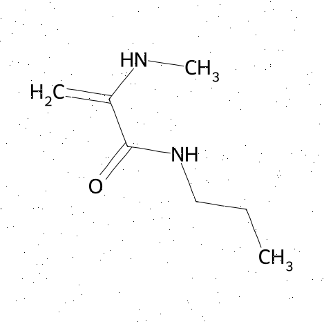 C=C(NC)C(=O)NCCC